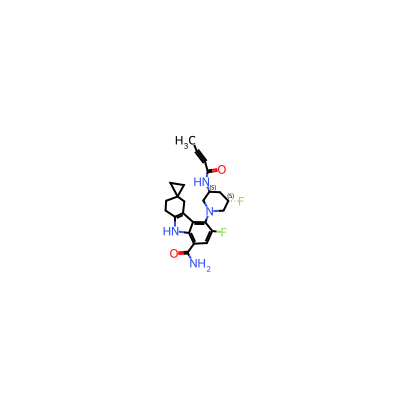 CC#CC(=O)N[C@H]1C[C@H](F)CN(c2c(F)cc(C(N)=O)c3[nH]c4c(c23)CC2(CC4)CC2)C1